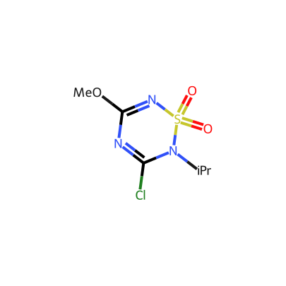 COC1=NS(=O)(=O)N(C(C)C)C(Cl)=N1